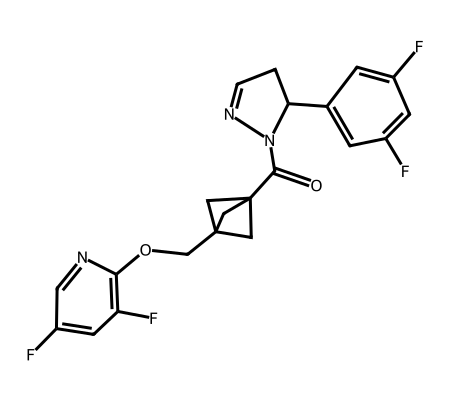 O=C(N1N=CCC1c1cc(F)cc(F)c1)C12CC(COc3ncc(F)cc3F)(C1)C2